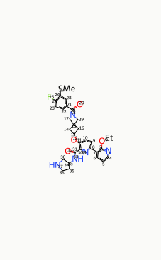 CCOc1ncccc1-c1ccc(OC2CC3(C2)CN(C(=O)c2ccc(F)c(SC)c2)C3)c(C(=O)N[C@@H]2CCNC2)n1